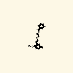 Cc1ccc(S(=O)(=O)O)c(CCOCCOCc2ccccc2)c1